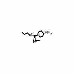 CCCCOC(=O)N1CC[C@H](N)C[C@H]1CC#N